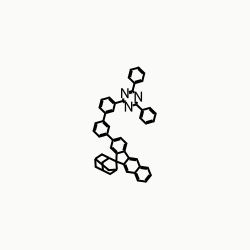 c1ccc(-c2nc(-c3ccccc3)nc(-c3cccc(-c4cccc(-c5ccc6c(c5)C5(c7cc8ccccc8cc7-6)C6CC7CC(C6)CC5C7)c4)c3)n2)cc1